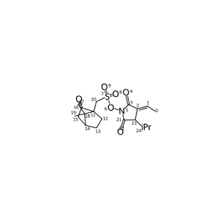 CC=C1C(=O)N(OS(=O)(=O)CC23CCC(CC2=O)C3(C)C)C(=O)C1C(C)C